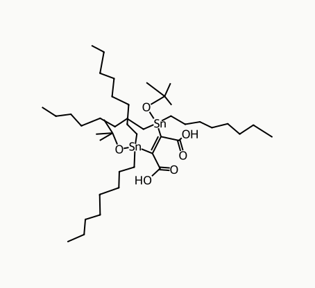 CCCCCCC[CH2][Sn]([CH2]CCCCCCC)([O]C(C)(C)C)/[C](C(=O)O)=[C](/C(=O)O)[Sn]([CH2]CCCCCCC)([CH2]CCCCCCC)[O]C(C)(C)C